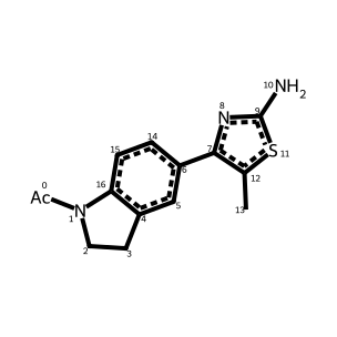 CC(=O)N1CCc2cc(-c3nc(N)sc3C)ccc21